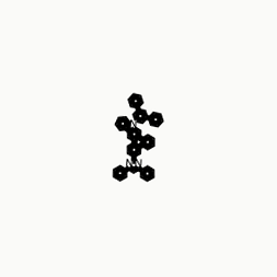 c1ccc(-c2cc(-c3ccccc3)cc(-n3c4ccccc4c4cc5c6ccc(-c7nc(-c8ccccc8)cc(-c8ccccc8)n7)cc6c6ccccc6c5cc43)c2)cc1